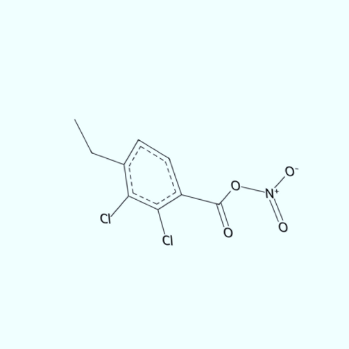 CCc1ccc(C(=O)O[N+](=O)[O-])c(Cl)c1Cl